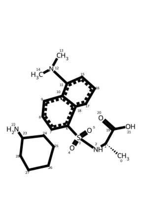 C[C@H](NS(=O)(=O)c1cccc2c(N(C)C)cccc12)C(=O)O.NC1CCCCC1